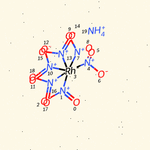 O=[N+]([O-])[Rh-]([N+](=O)[O-])([N+](=O)[O-])([N+](=O)[O-])([N+](=O)[O-])[N+](=O)[O-].[NH4+]